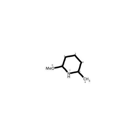 COC1CCCC(C)N1